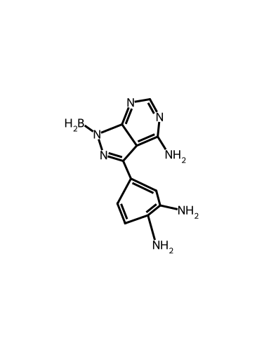 Bn1nc(-c2ccc(N)c(N)c2)c2c(N)ncnc21